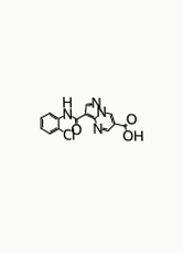 O=C(O)c1cnc2c(C(=O)Nc3ccccc3Cl)cnn2c1